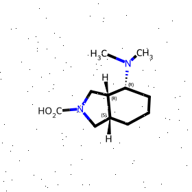 CN(C)[C@@H]1CCC[C@@H]2CN(C(=O)O)C[C@@H]21